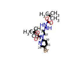 CC(C)(C)OC(=O)NNCCN(C(=O)OC(C)(C)C)c1ccc(Br)cn1